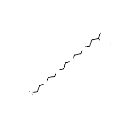 CC(O)CCOCCOCCOCCOCCN